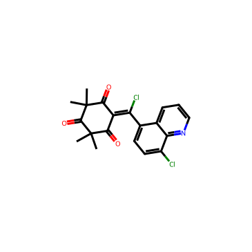 CC1(C)C(=O)C(=C(Cl)c2ccc(Cl)c3ncccc23)C(=O)C(C)(C)C1=O